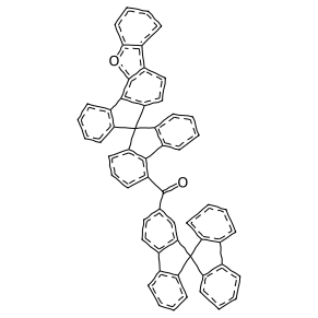 O=C(c1ccc2c(c1)C1(c3ccccc3-c3ccccc31)c1ccccc1-2)c1cccc2c1-c1ccccc1C21c2ccccc2-c2c1ccc1c2oc2ccccc21